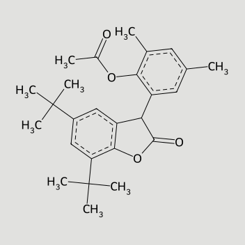 CC(=O)Oc1c(C)cc(C)cc1C1C(=O)Oc2c1cc(C(C)(C)C)cc2C(C)(C)C